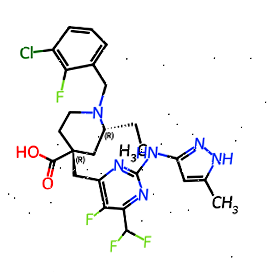 CC[C@@H]1C[C@](Cc2nc(Nc3cc(C)[nH]n3)nc(C(F)F)c2F)(C(=O)O)CCN1Cc1cccc(Cl)c1F